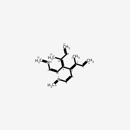 C=CC(C)=C(/C=C\N=C)C(/C=C\N=C)=C(/C)C=C